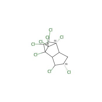 ClC1=C(Cl)[C@@]2(Cl)C3C[C@H](Cl)C(Cl)C3C1(Cl)C2(Cl)Cl